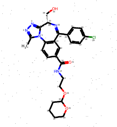 Cc1nnc2n1-c1ccc(C(=O)NCCOC3CCCCO3)cc1C(c1ccc(Cl)cc1)=N[C@H]2CO